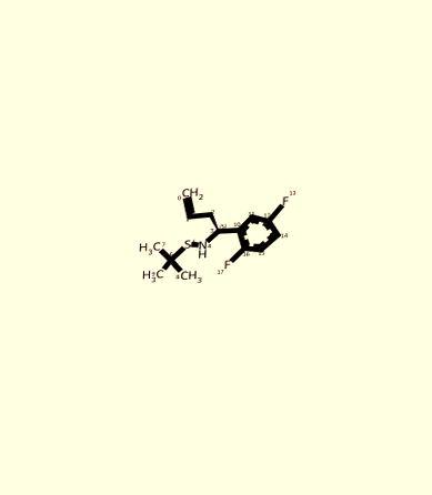 C=CC[C@H](NSC(C)(C)C)c1cc(F)ccc1F